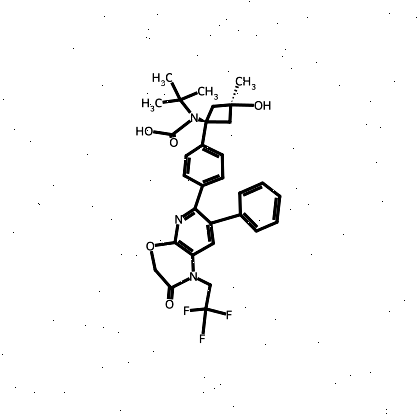 CC(C)(C)N(C(=O)O)[C@]1(c2ccc(-c3nc4c(cc3-c3ccccc3)N(CC(F)(F)F)C(=O)CO4)cc2)C[C@](C)(O)C1